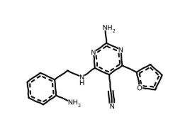 N#Cc1c(NCc2ccccc2N)nc(N)nc1-c1ccco1